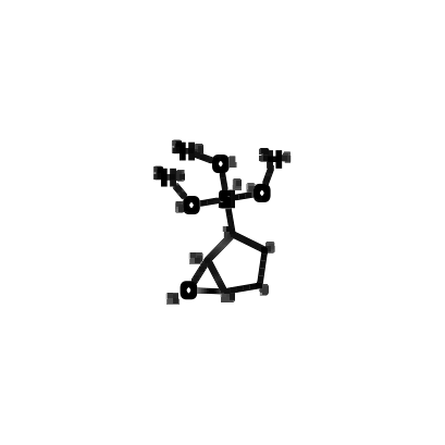 [3H]O[Si](O[3H])(O[3H])C1CCC2OC21